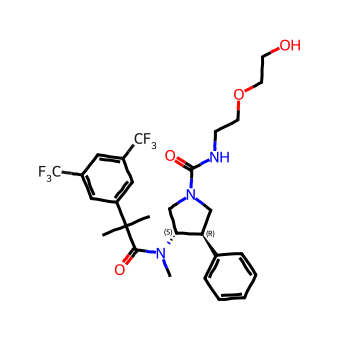 CN(C(=O)C(C)(C)c1cc(C(F)(F)F)cc(C(F)(F)F)c1)[C@@H]1CN(C(=O)NCCOCCO)C[C@H]1c1ccccc1